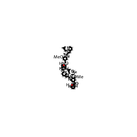 COc1cc(C(=O)NC23C[C@@H]4CN(Oc5ccc6cc(-c7nc8cc(C(=O)N9C[C@H]%10CC[C@@H]9[C@@H]%10N)cc(OC)c8n7CC[S+](C)[O-])n(CC7CC7)c6n5)[C@H](C2)[C@@H]43)cc2nc(-c3cc4cccnc4n3CC3CC3)n(C)c12